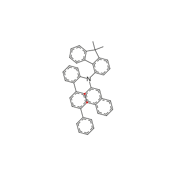 CC1(C)c2ccccc2-c2c(N(c3ccc4ccccc4c3)c3ccccc3-c3ccc(-c4ccccc4)cc3)cccc21